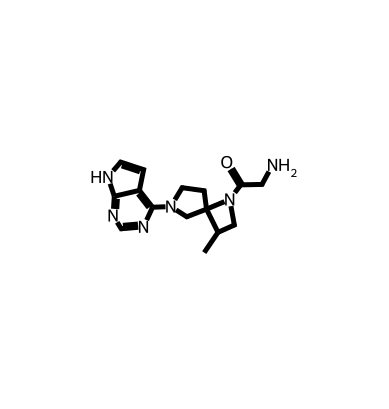 CC1CN(C(=O)CN)C12CCN(c1ncnc3[nH]ccc13)C2